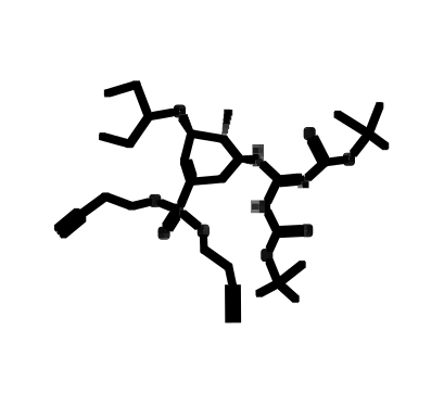 C#CCCOP(=O)(OCCC#C)C1=C[C@@H](OC(CC)CC)[C@H](C)[C@@H](N/C(=N\C(=O)OC(C)(C)C)NC(=O)OC(C)(C)C)C1